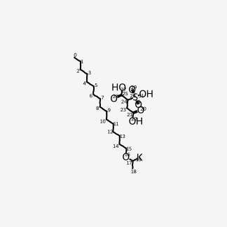 CCCCCCCCCCCCCCCCO[CH](C)[K].O=C(O)CC(C(=O)O)S(=O)(=O)O